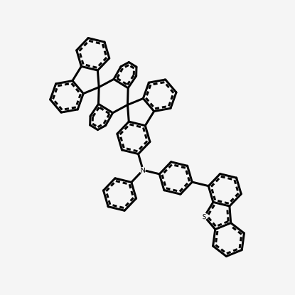 c1ccc(N(c2ccc(-c3cccc4c3sc3ccccc34)cc2)c2ccc3c(c2)-c2ccccc2C32c3ccccc3C3(c4ccccc4-c4ccccc43)c3ccccc32)cc1